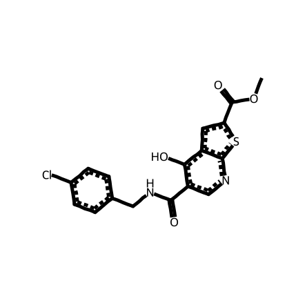 COC(=O)c1cc2c(O)c(C(=O)NCc3ccc(Cl)cc3)cnc2s1